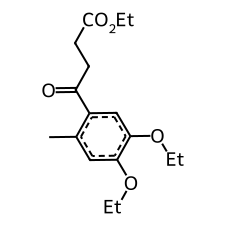 CCOC(=O)CCC(=O)c1cc(OCC)c(OCC)cc1C